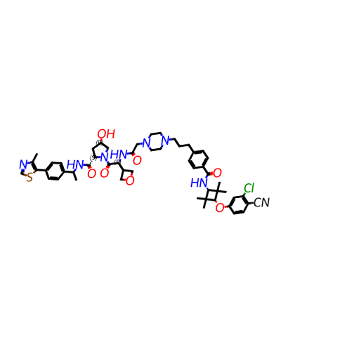 Cc1ncsc1-c1ccc(C(C)NC(=O)[C@@H]2C[C@@H](O)CN2C(=O)[C@@H](NC(=O)CN2CCN(CCCc3ccc(C(=O)N[C@H]4C(C)(C)[C@H](Oc5ccc(C#N)c(Cl)c5)C4(C)C)cc3)CC2)C2COC2)cc1